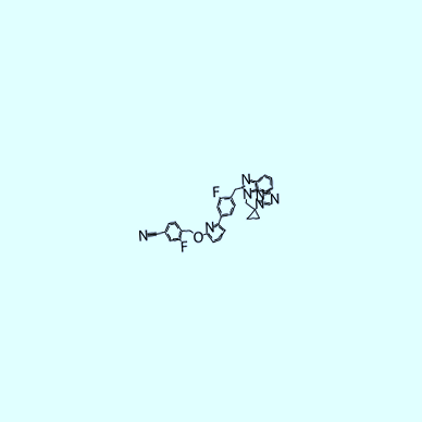 N#Cc1ccc(COc2cccc(-c3ccc(Cc4nc5ccccc5n4CC4(n5cncn5)CC4)c(F)c3)n2)c(F)c1